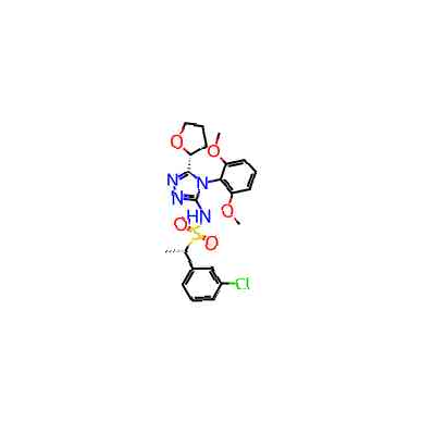 COc1cccc(OC)c1-n1c(NS(=O)(=O)[C@@H](C)c2cccc(Cl)c2)nnc1[C@H]1CCCO1